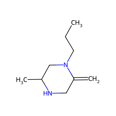 C=C1CNC(C)CN1CCC